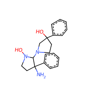 NC1(c2ccccc2)CCN(O)C1N1CCC(O)(c2ccccc2)C1